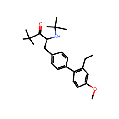 CCc1cc(OC)ccc1-c1ccc(C[C@H](NC(C)(C)C)C(=O)C(C)(C)C)cc1